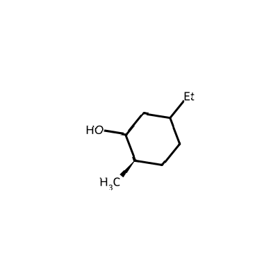 CCC1CC[C@@H](C)C(O)C1